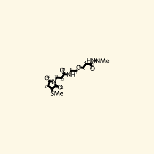 CNNC(=O)CCOCCNC(=O)CCN1C(=O)CC(SC)C1=O